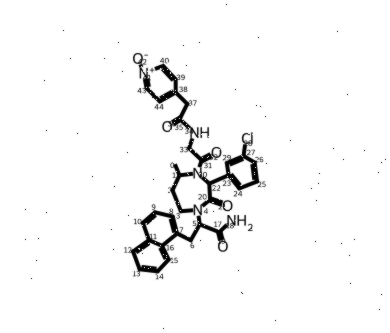 CC1CCN(C(Cc2cccc3ccccc23)C(N)=O)C(=O)C(c2cccc(Cl)c2)N1C(=O)CNC(=O)Cc1cc[n+]([O-])cc1